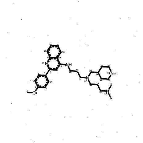 COc1ccc(-c2cc(NCCCN(CCCN(C)C)CC3CCNCC3)c3ccccc3n2)cc1